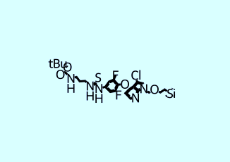 CC(C)(C)OC(=O)NCCCNC(=S)Nc1cc(F)c(Oc2ccnc3c2c(Cl)cn3COCC[Si](C)(C)C)c(F)c1